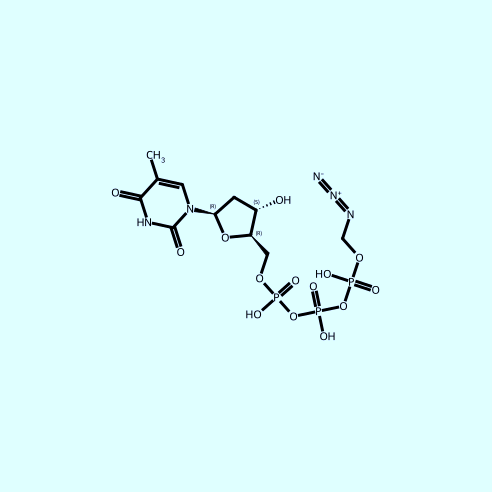 Cc1cn([C@H]2C[C@H](O)[C@@H](COP(=O)(O)OP(=O)(O)OP(=O)(O)OCN=[N+]=[N-])O2)c(=O)[nH]c1=O